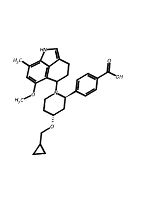 COc1cc(C)c2[nH]cc3c2c1C(N1CC[C@@H](OCC2CC2)C[C@@H]1c1ccc(C(=O)O)cc1)CC3